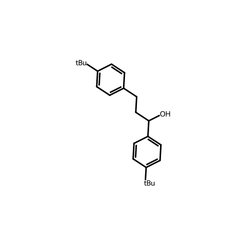 CC(C)(C)c1ccc(CCC(O)c2ccc(C(C)(C)C)cc2)cc1